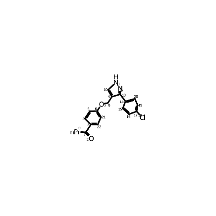 CCCC(=O)c1ccc(OCc2c[nH]nc2-c2ccc(Cl)cc2)cc1